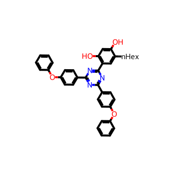 CCCCCCc1cc(-c2nc(-c3ccc(Oc4ccccc4)cc3)nc(-c3ccc(Oc4ccccc4)cc3)n2)c(O)cc1O